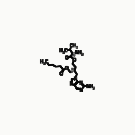 CCCCCC(=O)OC[C@H](CCOC(=O)[C@@H](N)C(C)C)Cn1cnc2cnc(N)nc21